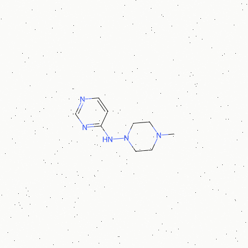 CN1CCN(Nc2ccn[c]n2)CC1